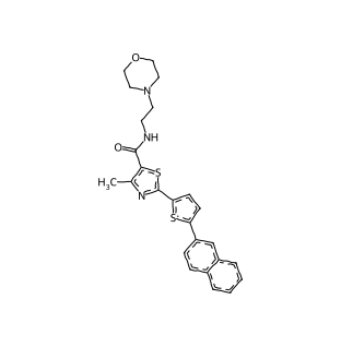 Cc1nc(-c2ccc(-c3ccc4ccccc4c3)s2)sc1C(=O)NCCN1CCOCC1